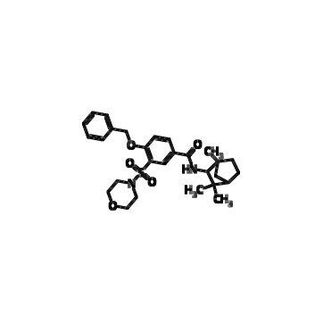 CC12CCC(C1)C(C)(C)C2NC(=O)c1ccc(OCc2ccccc2)c(S(=O)(=O)N2CCOCC2)c1